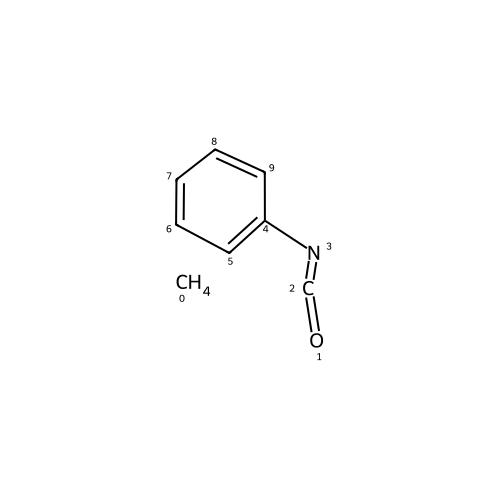 C.O=C=Nc1ccccc1